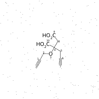 C#CCOC(CC#C)(CC(=O)O)C(=O)O